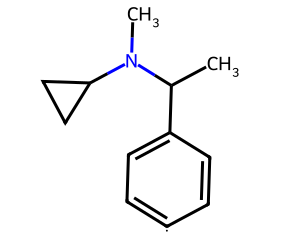 CC(c1cc[c]cc1)N(C)C1CC1